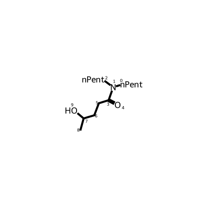 CCCCCN(CCCCC)C(=O)CCC(C)O